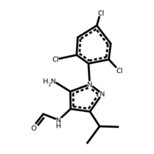 CC(C)c1nn(-c2c(Cl)cc(Cl)cc2Cl)c(N)c1NC=O